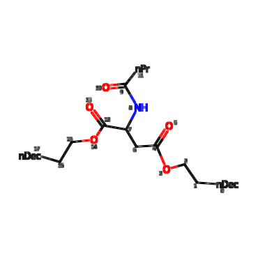 CCCCCCCCCCCCOC(=O)CC(NC(=O)CCC)C(=O)OCCCCCCCCCCCC